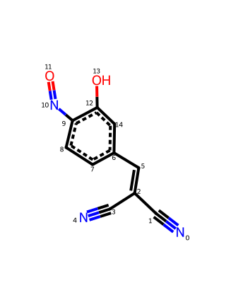 N#CC(C#N)=Cc1ccc(N=O)c(O)c1